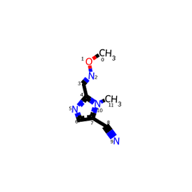 CON=Cc1ncc(C#N)n1C